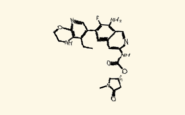 CCc1c(-c2cc3cc(NC(=O)O[C@@H]4CC(=O)N(C)C4)ncc3c(N)c2F)cnc2c1NCCO2